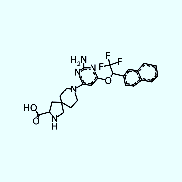 Nc1nc(O[C@H](c2ccc3ccccc3c2)C(F)(F)F)cc(N2CCC3(CC2)CNC(C(=O)O)C3)n1